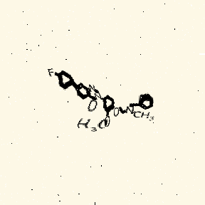 COc1cc(-n2cnc3cc(-c4ccc(F)cc4)ccc3c2=O)ccc1OCCN(C)Cc1ccccc1